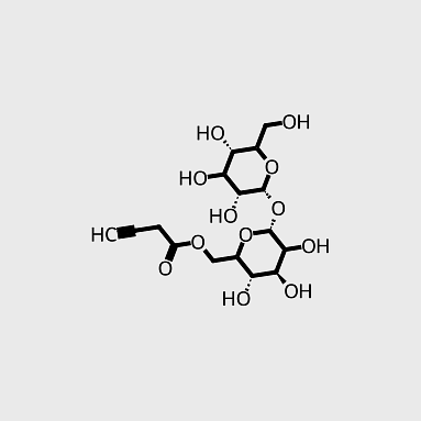 C#CCC(=O)OCC1O[C@H](O[C@H]2OC(CO)[C@@H](O)C(O)[C@H]2O)C(O)[C@@H](O)[C@@H]1O